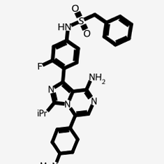 CNC1CC=C(c2cnc(N)c3c(-c4ccc(NS(=O)(=O)Cc5ccccc5)cc4F)nc(C(C)C)n23)CC1